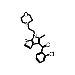 Cc1c(C(=O)c2ccccc2Cl)c2ccsc2n1CCN1CCOCC1